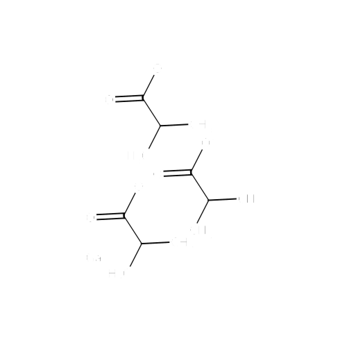 CC(C)C(=O)[O-].CC(C)C(=O)[O-].CC(C)C(=O)[O-].[Ga+3]